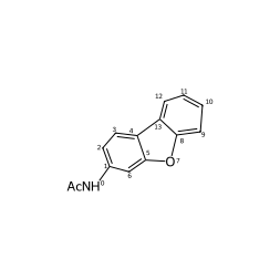 CC(=O)Nc1ccc2c(c1)oc1ccccc12